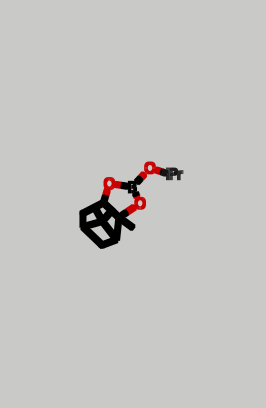 CC(C)OB1OC2CC3CC(C3(C)C)C2(C)O1